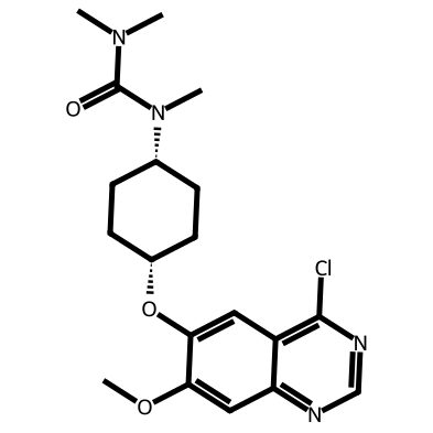 COc1cc2ncnc(Cl)c2cc1O[C@H]1CC[C@@H](N(C)C(=O)N(C)C)CC1